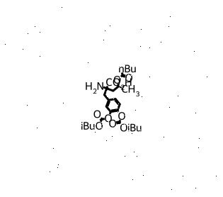 CCCCC(=O)O[C@@H](C)CC(N)(Cc1ccc(OC(=O)OCC(C)C)c(OC(=O)OCC(C)C)c1)C(=O)O